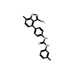 Cc1cccc(NC(=O)Nc2ccc(-c3ccc(C)c4onc(N)c34)cc2)c1